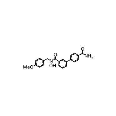 COc1ccc(CN(O)C(=O)c2cccc(-c3ccc(C(N)=O)cc3)c2)cc1